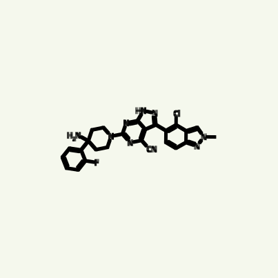 Cn1cc2c(Cl)c(-c3n[nH]c4nc(N5CCC(N)(c6ccccc6F)CC5)nc(C#N)c34)ccc2n1